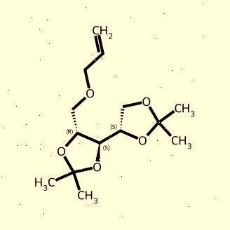 C=CCOC[C@H]1OC(C)(C)O[C@@H]1[C@@H]1COC(C)(C)O1